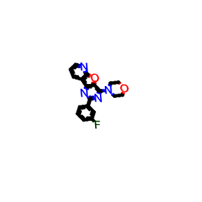 Fc1cccc(-c2nc(N3CCOCC3)c3oc4ncccc4c3n2)c1